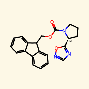 O=C(OCC1c2ccccc2-c2ccccc21)N1CCC[C@H]1c1ncno1